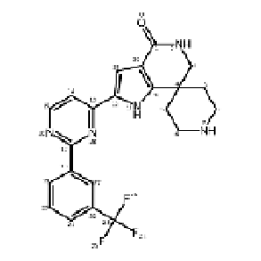 O=C1NCC2(CCNCC2)c2[nH]c(-c3ccnc(-c4cccc(C(F)(F)F)c4)n3)cc21